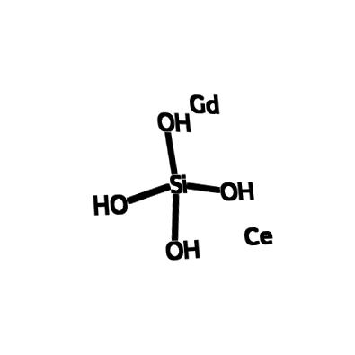 O[Si](O)(O)O.[Ce].[Gd]